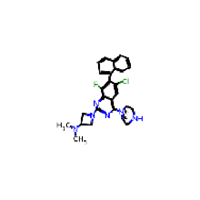 CN(C)C1CN(c2nc(N3CC4CCCC3CN4)c3cc(Cl)c(-c4cccc5ccccc45)c(F)c3n2)C1